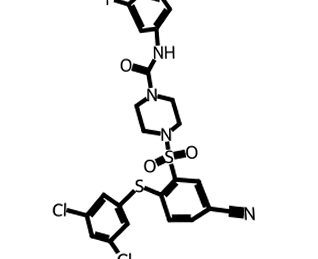 N#Cc1ccc(Sc2cc(Cl)cc(Cl)c2)c(S(=O)(=O)N2CCN(C(=O)Nc3cccc(F)c3)CC2)c1